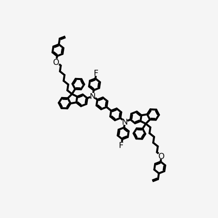 C=Cc1ccc(OCCCCCCC2(c3ccccc3)c3ccccc3-c3ccc(N(c4ccc(F)cc4)c4ccc(-c5ccc(N(c6ccc(F)cc6)c6ccc7c(c6)C(CCCCCCOC6=CCC(C=C)C=C6)(c6ccccc6)c6ccccc6-7)cc5)cc4)cc32)cc1